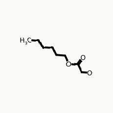 CCCCCCOC(=O)C[O]